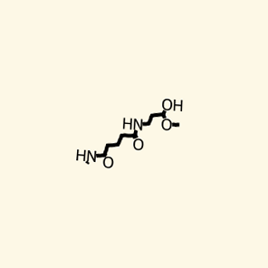 CNC(=O)CCCC(=O)NCCC(O)OC